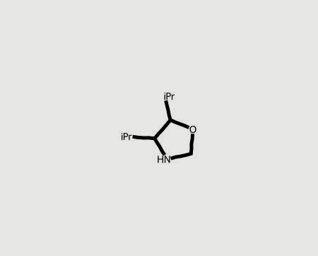 CC(C)C1NCOC1C(C)C